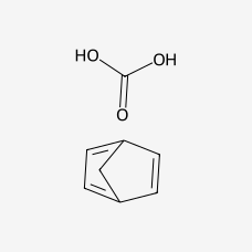 C1=CC2=CC=C1C2.O=C(O)O